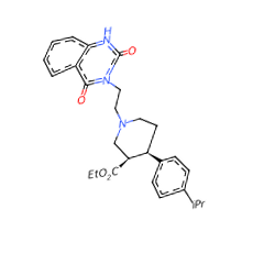 CCOC(=O)[C@H]1CN(CCn2c(=O)[nH]c3ccccc3c2=O)CC[C@H]1c1ccc(C(C)C)cc1